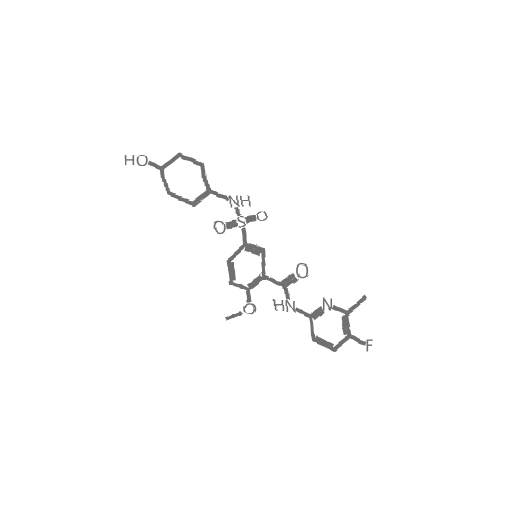 COc1ccc(S(=O)(=O)NC2CCC(O)CC2)cc1C(=O)Nc1ccc(F)c(C)n1